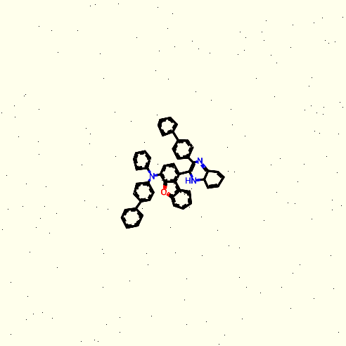 C1=CC2=NC(c3ccc(-c4ccccc4)cc3)=C(c3ccc(N(c4ccccc4)c4ccc(-c5ccccc5)cc4)c4oc5ccccc5c34)NC2C=C1